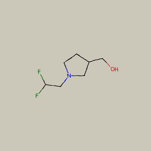 OCC1CCN(CC(F)F)C1